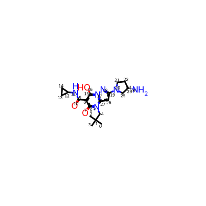 CC(C)(C)Cn1c(=O)c(C(=O)NC2CC2)c(O)n2nc(N3CC[C@H](N)C3)cc12